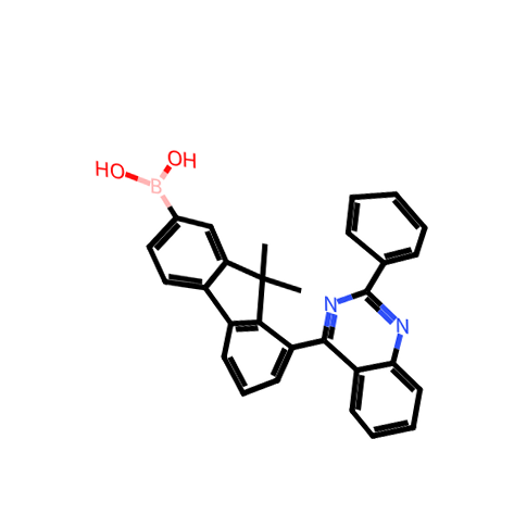 CC1(C)c2cc(B(O)O)ccc2-c2cccc(-c3nc(-c4ccccc4)nc4ccccc34)c21